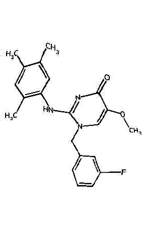 COc1cn(Cc2cccc(F)c2)c(Nc2cc(C)c(C)cc2C)nc1=O